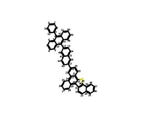 c1ccc(-c2c3ccccc3c(-c3ccc4cc(-c5ccc6c(c5)c5ccccc5c5c7ccc8ccccc8c7sc65)ccc4c3)c3ccccc23)cc1